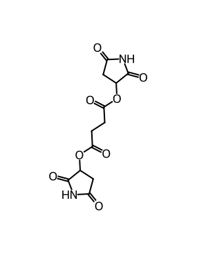 O=C1CC(OC(=O)CCC(=O)OC2CC(=O)NC2=O)C(=O)N1